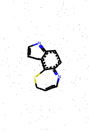 C1=CN=c2ccc3c(c2SC1)C=CN=3